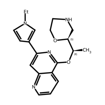 CCn1ccc(-c2cc3ncccc3c(O[C@H](C)[C@@H]3CNCCO3)n2)c1